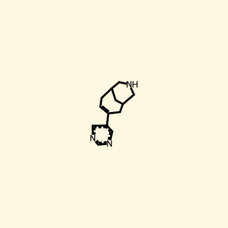 C1=C(c2cncnc2)CC2CNCC(C1)C2